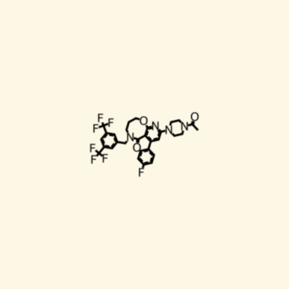 CC(=O)N1CCN(c2cc(-c3ccc(F)cc3)c3c(n2)OCCCN(Cc2cc(C(F)(F)F)cc(C(F)(F)F)c2)C3=O)CC1